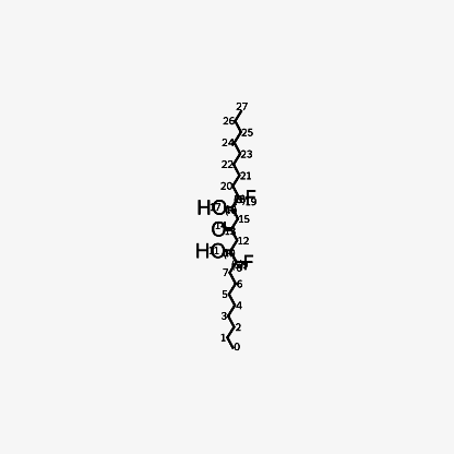 CCCCCCCC[C@H](F)[C@H](O)CC(=O)C[C@@H](O)[C@@H](F)CCCCCCCC